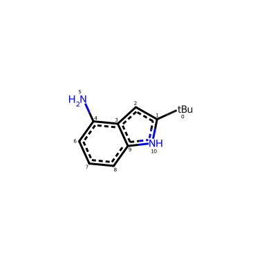 CC(C)(C)c1cc2c(N)cccc2[nH]1